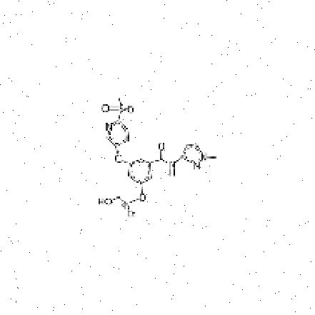 CC[C@@H](CO)Oc1cc(Oc2ccc(S(C)(=O)=O)nc2)cc(C(=O)Nc2ccn(C)n2)c1